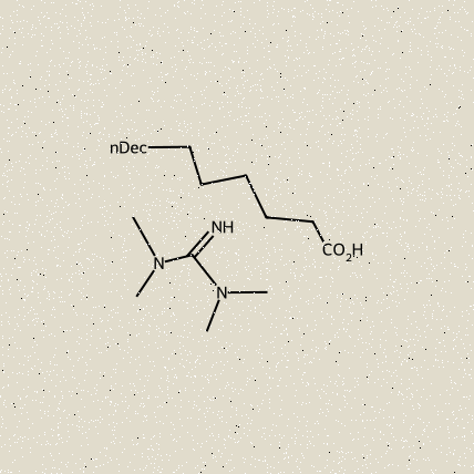 CCCCCCCCCCCCCCCC(=O)O.CN(C)C(=N)N(C)C